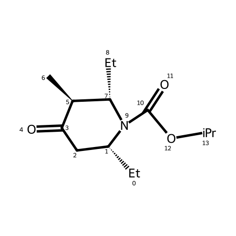 CC[C@@H]1CC(=O)[C@@H](C)[C@H](CC)N1C(=O)OC(C)C